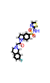 O=C(CN1CCc2ccc(F)cc2C1)N1CCc2cc(S(=O)(=O)Nc3nccs3)ccc21